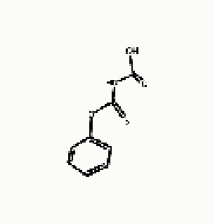 O=C(O)NC(=S)Oc1ccccc1